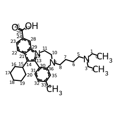 CCN(CC)CCCCN1CCn2c(c(C3CCCCC3)c3ccc(C(=O)O)cc32)-c2ccc(C)cc21